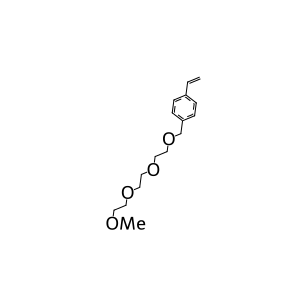 C=Cc1ccc(COCCOCCOCCOC)cc1